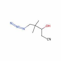 CC(C)(CN=[N+]=[N-])C(O)CC#N